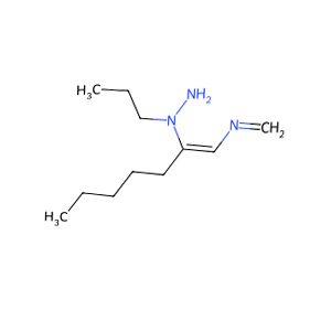 C=N/C=C(/CCCCC)N(N)CCC